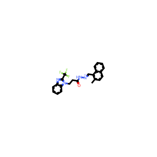 Cc1ccc2ccccc2c1/C=N/NC(=O)CCn1c(C(F)(F)F)nc2ccccc21